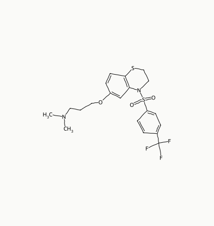 CN(C)CCCOc1ccc2c(c1)N(S(=O)(=O)c1ccc(C(F)(F)F)cc1)CCS2